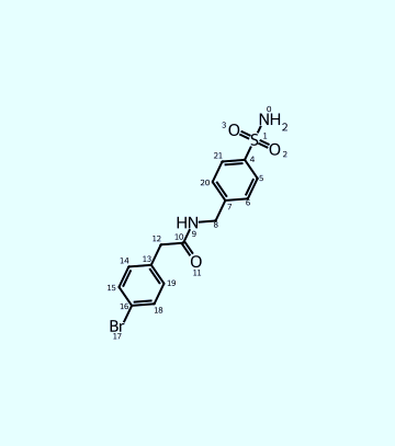 NS(=O)(=O)c1ccc(CNC(=O)Cc2ccc(Br)cc2)cc1